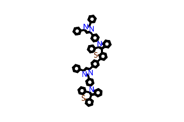 c1ccc(-c2cc(-c3ccc(-n4c5c(c6ccccc64)-c4cccc(-c6ccc(-c7cc(-c8ccccc8)nc(-c8ccc(-n9c%10c(c%11ccccc%119)-c9ccccc9Sc9ccccc9-%10)cc8)n7)cc6)c4Sc4ccccc4-5)cc3)nc(-c3ccccc3)n2)cc1